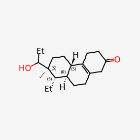 CCC(O)[C@@]1(C)CC[C@@H]2C3=C(CC[C@H]2[C@@H]1CC)CC(=O)CC3